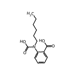 CCCCCCN(C(=O)O)c1ccccc1C(=O)O